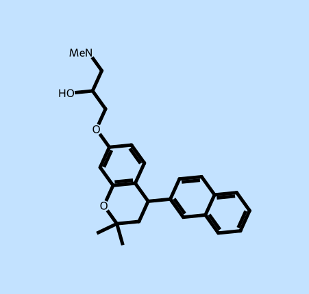 CNCC(O)COc1ccc2c(c1)OC(C)(C)CC2c1ccc2ccccc2c1